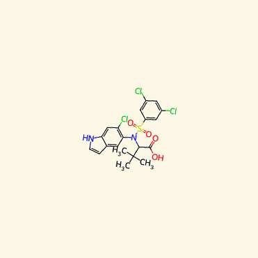 CC(C)(C)C(C(=O)O)N(c1cc2cc[nH]c2cc1Cl)S(=O)(=O)c1cc(Cl)cc(Cl)c1